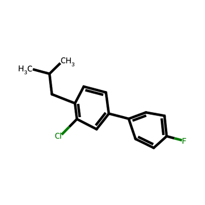 CC(C)Cc1ccc(-c2ccc(F)cc2)cc1Cl